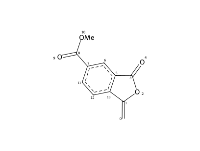 C=C1OC(=O)c2cc(C(=O)OC)ccc21